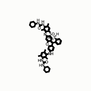 Cc1cc(C)c(NC(=O)NC2CCCCC2)c(C)c1/N=c1/cc2oc3cc(Nc4c(C)cc(C)c(NC(=O)NC5CCCCC5)c4C)ccc3c(-c3ccccc3S(=O)(=O)O)c-2cc1S(=O)(=O)O